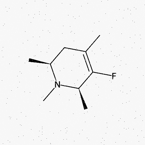 CC1=C(F)[C@@H](C)N(C)[C@@H](C)C1